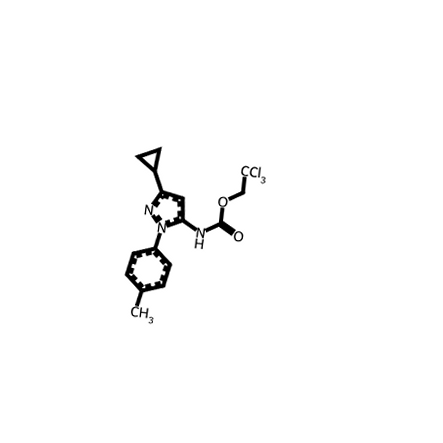 Cc1ccc(-n2nc(C3CC3)cc2NC(=O)OCC(Cl)(Cl)Cl)cc1